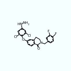 NNc1cc(Cl)c(Oc2ccc3c(c2)CCN(Cc2ccc(F)c(F)c2)C3=O)c(Cl)c1